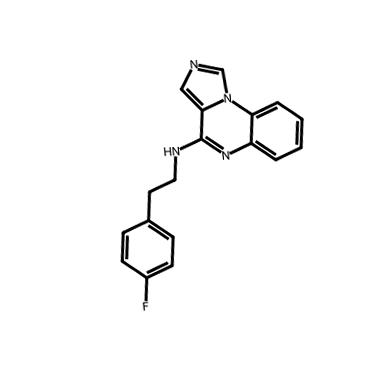 Fc1ccc(CCNc2nc3ccccc3n3cncc23)cc1